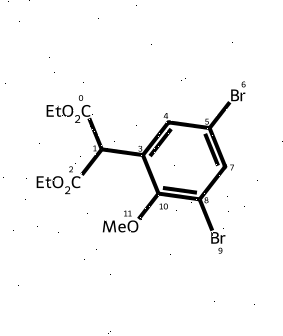 CCOC(=O)C(C(=O)OCC)c1cc(Br)cc(Br)c1OC